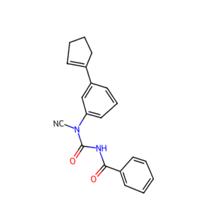 N#CN(C(=O)NC(=O)c1ccccc1)c1cccc(C2=CCCC2)c1